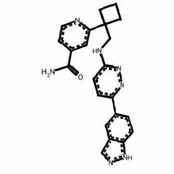 NC(=O)c1ccnc(C2(CNc3ccc(-c4ccc5[nH]ncc5c4)nn3)CCC2)c1